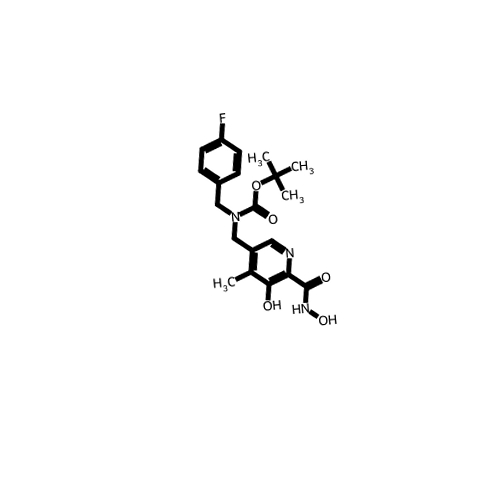 Cc1c(CN(Cc2ccc(F)cc2)C(=O)OC(C)(C)C)cnc(C(=O)NO)c1O